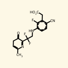 CC1=CCC(=O)C(C(F)(F)CNc2ccc(C#N)c(CC(=O)O)c2F)=N1